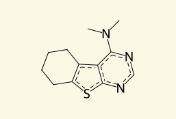 CN(C)c1ncnc2sc3c(c12)CCCC3